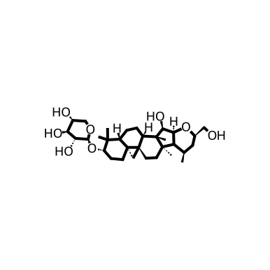 C[C@@H]1C[C@H](CO)O[C@H]2C1[C@@]1(C)CC[C@@]34C[C@@]35CC[C@H](O[C@@H]3OC[C@@H](O)[C@H](O)[C@H]3O)C(C)(C)[C@@H]5CC[C@H]4[C@]1(C)[C@H]2O